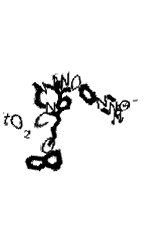 CCOC(=O)c1c(CCCOc2cccc3ccccc23)c2cccc3c2n1CCCN(C)Cc1c-3c(COc2ccc(N3CCN([S+]([O-])N(C)C)CC3)cc2)nn1C